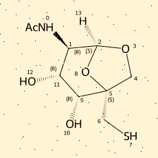 CC(=O)N[C@H]1[C@H]2OC[C@](CS)(O2)[C@H](O)[C@@H]1O